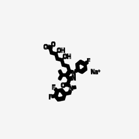 CC(C)c1c(C(=O)N(C)Cc2ccc(F)c(F)c2)nn(-c2ccc(F)cc2)c1CC[C@@H](O)C[C@@H](O)CC(=O)[O-].[Na+]